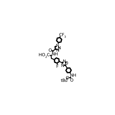 CC(C)(C)OC(=O)Nc1ccc(-c2nc(-c3ccc(CC(NC(=O)c4cn(-c5ccc(C(F)(F)F)cc5)nn4)C(=O)O)cc3F)no2)cc1